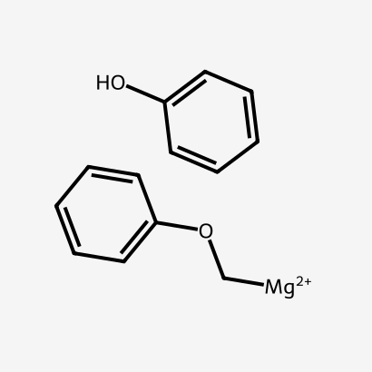 Oc1ccccc1.[Mg+2][CH2]Oc1ccccc1